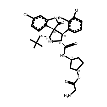 CC(C)(C)C[C@H]1N[C@@H](C(=O)N[C@H]2CC[C@@H](OC(=O)CN)C2)[C@H](c2cccc(Cl)c2F)[C@@]12C(=O)Nc1cc(Cl)ccc12